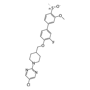 COc1cc(-c2ccc(OCC3CCN(c4ncc(Cl)cn4)CC3)c(F)c2)ccc1[S@+](C)[O-]